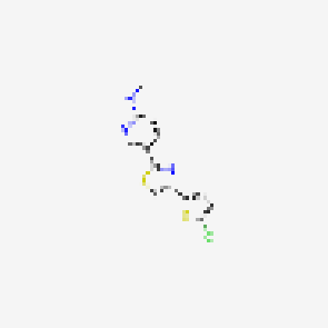 CN(C)c1ccc(-c2nc(-c3ccc(Cl)s3)[c]s2)cn1